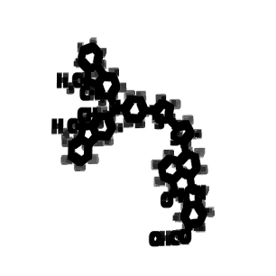 CC1(C)c2ccccc2-c2ccc(N(c3ccc(-c4ccc(-c5ccc(-c6ccc7c8c6cccc8c(=O)n6c8cc(OC=O)ccc8nc76)s5)s4)cc3)c3ccc4c(c3)C(C)(C)c3ccccc3-4)cc21